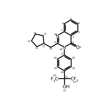 O=c1c2ccccc2nc(CC2CCCC2)n1-c1ccc(C(O)(C(F)(F)F)C(F)(F)F)cc1